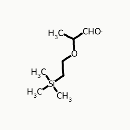 CC([C]=O)OCC[Si](C)(C)C